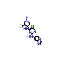 CCC1CNCCC1Nc1nc(Nc2ccn3ccnc3c2)ncc1Cl